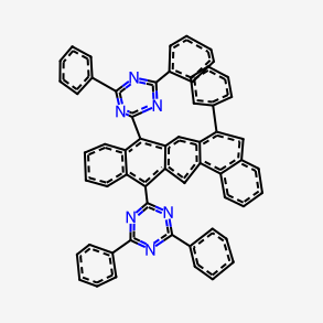 c1ccc(-c2nc(-c3ccccc3)nc(-c3c4ccccc4c(-c4nc(-c5ccccc5)nc(-c5ccccc5)n4)c4cc5c(cc34)c(-c3ccccc3)cc3ccccc35)n2)cc1